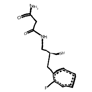 NC(=O)CC(=O)NC[C@@H](S)Cc1ccccc1F